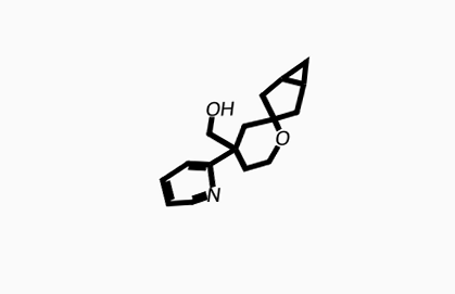 OCC1(c2ccccn2)CCOC2(CC3CC3C2)C1